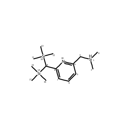 C[SiH](C)Cc1cccc(C([Si](C)(C)C)[Si](C)(C)C)n1